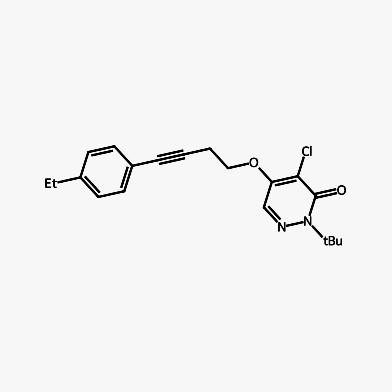 CCc1ccc(C#CCCOc2cnn(C(C)(C)C)c(=O)c2Cl)cc1